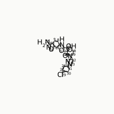 CC1(C(O)C(=O)Nc2ccc3c(N)noc3c2)OCCN(c2ccn(-c3ccc(Cl)cc3)n2)C1=O